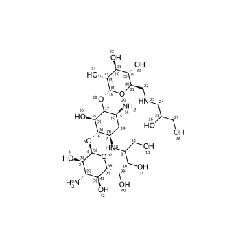 N[C@@H]1[C@@H](O)[C@@H](O[C@H]2[C@H](NC(CO)CO)C[C@H](N)C(O[C@H]3O[C@H](CNCC(O)CO)[C@@H](O)[C@H](O)[C@H]3O)[C@@H]2O)O[C@H](CO)[C@H]1O